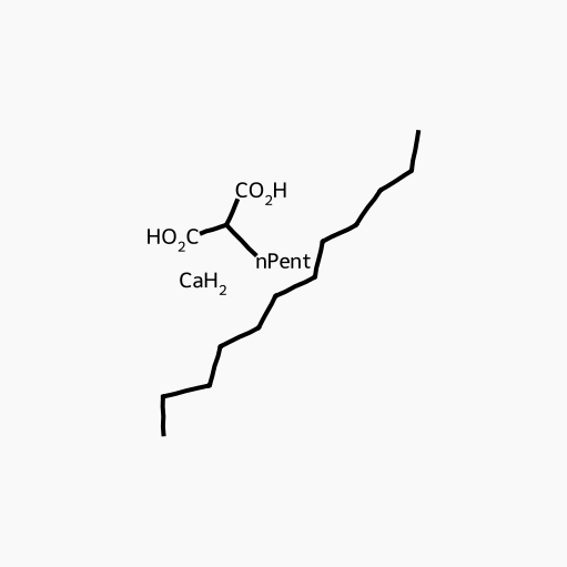 CCCCCC(C(=O)O)C(=O)O.CCCCCCCCCCCC.[CaH2]